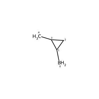 BC1CC1C